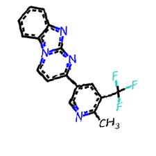 Cc1ncc(-c2ccn3c(n2)nc2ccccc23)cc1C(F)(F)F